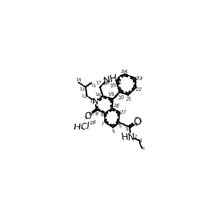 CCNC(=O)c1ccc2c(=O)n(CC(C)C)c(CN)c(-c3ccccc3)c2c1.Cl